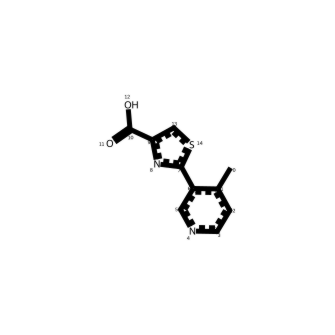 Cc1ccncc1-c1nc(C(=O)O)cs1